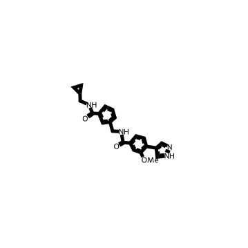 COc1cc(C(=O)NCc2cccc(C(=O)NCC3CC3)c2)ccc1-c1cn[nH]c1